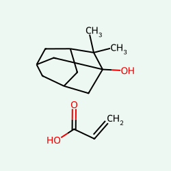 C=CC(=O)O.CC1(C)C2CC3CC(C2)CC1(O)C3